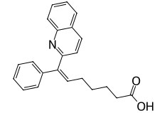 O=C(O)CCCC/C=C(/c1ccccc1)c1ccc2ccccc2n1